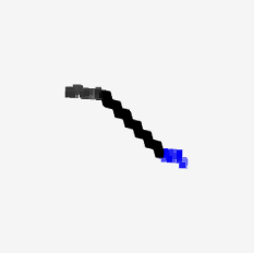 CCCCCC=CCC=CCCCCCCCN